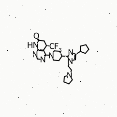 O=C1C[C@@H](C(F)(F)F)c2c(ncnc2N2CCC(c3nc(C4CCCC4)cn3CCN3CCCC3)CC2)N1